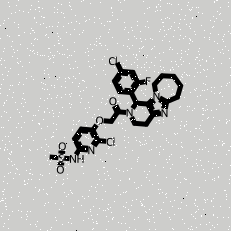 CS(=O)(=O)Nc1ccc(OCC(=O)N2CCc3nc4n(c3C2c2ccc(Cl)cc2F)CCCCC4)c(Cl)n1